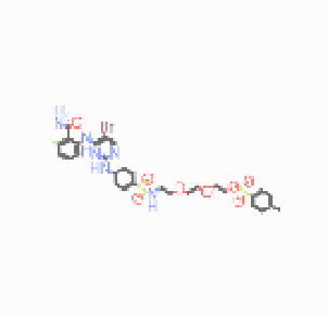 Cc1ccc(S(=O)(=O)OCCOCCOCCNS(=O)(=O)c2ccc(Nc3ncc(Br)c(Nc4cccc(F)c4C(N)=O)n3)cc2)cc1